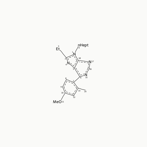 CCCCCCCn1c(CC)nc2c(-c3ccc(OC)cc3C)ncnc21